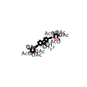 CC(=O)OC[C@H]1O[C@H](C#Cc2ccc3c(c2)C(C)(C)c2cc(C#C[C@H]4O[C@H](COC(C)=O)[C@@H](OC(C)=O)[C@H](OC(C)=O)[C@@H]4OC(C)=O)ccc2-3)[C@@H](OC(C)=O)[C@@H](OC(C)=O)[C@@H]1OC(C)=O